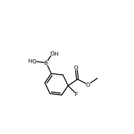 COC(=O)C1(F)C=CC=C(B(O)O)C1